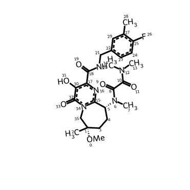 CO[C@@]1(C)CC[C@@H](N(C)C(=O)C(=O)N(C)C)c2nc(C(=O)NCc3ccc(F)c(C)c3)c(O)c(=O)n2C1